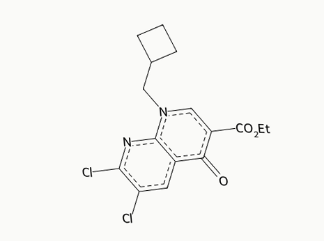 CCOC(=O)c1cn(CC2CCC2)c2nc(Cl)c(Cl)cc2c1=O